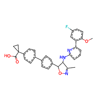 COc1ccc(F)cc1-c1cccc(NC2C(C)=NOC2c2ccc(-c3ccc(C4(C(=O)O)CC4)cc3)cc2)n1